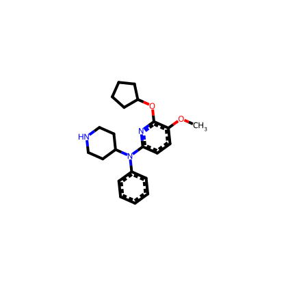 COc1ccc(N(c2ccccc2)C2CCNCC2)nc1OC1CCCC1